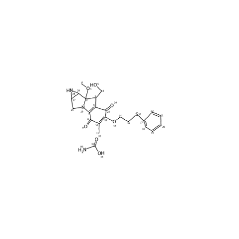 COC12C(CO)C3=C(C(=O)C(C)=C(OCCSc4ccccc4)C3=O)N1CC1NC12.NC(=O)O